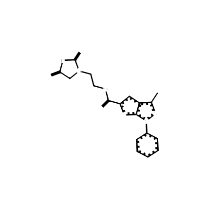 Cc1nn(-c2ccccc2)c2sc(C(=O)NCCN3CC(=O)NC3=O)cc12